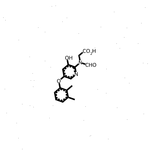 Cc1cccc(Oc2cnc(N(C=O)CC(=O)O)c(O)c2)c1C